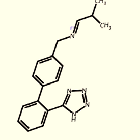 CC(C)/C=N/Cc1ccc(-c2ccccc2-c2nnn[nH]2)cc1